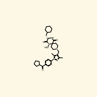 CCCCN1C(=O)[C@H](CC2CCCCC2)NC(=O)C12CCN(Cc1c(C)nn(-c3ccc(C(=O)C4CCCC4)cc3)c1C)CC2